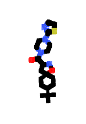 CC(C)(C)[C@H]1CC[C@@]2(CC1)CC(C(=O)N1CCN(c3nccs3)CC1)=NO2